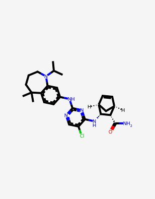 CC(C)N1CCCC(C)(C)c2ccc(Nc3ncc(Cl)c(N[C@H]4[C@@H](C(N)=O)[C@@H]5C=C[C@H]4C5)n3)cc21